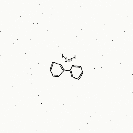 [I][Sn][I].c1ccc(-c2ccccc2)cc1